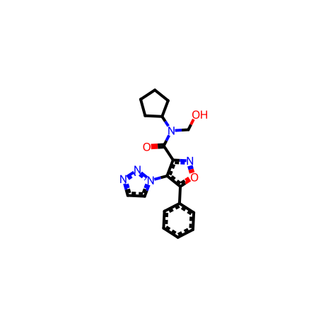 O=C(c1noc(-c2ccccc2)c1-n1ccnn1)N(CO)C1CCCC1